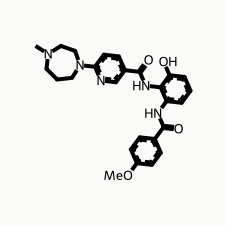 COc1ccc(C(=O)Nc2cccc(O)c2NC(=O)c2ccc(N3CCCN(C)CC3)nc2)cc1